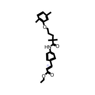 CCOC(=O)/C=C/c1ccc(NC(=O)C(C)(C)CCCOc2cc(C)ccc2C)cc1